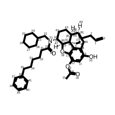 C=CCN1CC[C@]23c4c5c(O)cc(OC(C)=O)c4O[C@H]2[C@H](N(CC2CCCCC2)C(=O)CCCCCc2ccccc2)CC[C@H]3[C@H]1C5